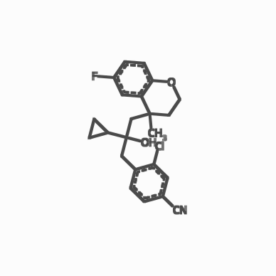 CC1(CC(O)(Cc2ccc(C#N)cc2Cl)C2CC2)CCOc2ccc(F)cc21